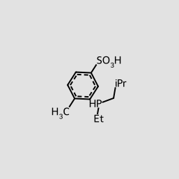 CCPCC(C)C.Cc1ccc(S(=O)(=O)O)cc1